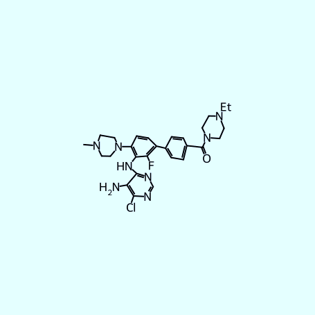 CCN1CCN(C(=O)c2ccc(-c3ccc(N4CCN(C)CC4)c(Nc4ncnc(Cl)c4N)c3F)cc2)CC1